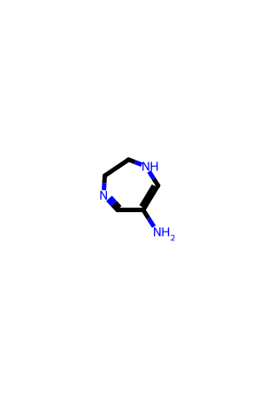 NC1=CNCCN=C1